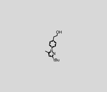 Cc1cc(C(C)(C)C)nn1-c1ccc(CCO)cc1